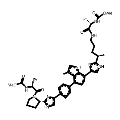 COC(=O)N[C@H](C(=O)NCCC[C@@H](C)c1nc(-c2ccc(-c3ccc(-c4c[nH]c([C@@H]5CCCN5C(=O)[C@@H](NC(=O)OC)C(C)C)n4)cc3)c3c(C)c[nH]c23)c[nH]1)C(C)C